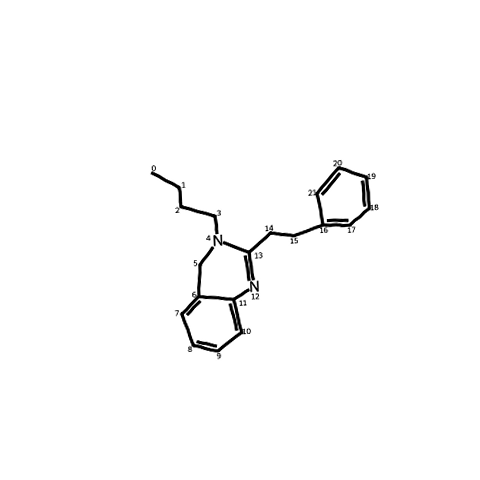 CCCCN1Cc2ccccc2N=C1CCc1ccccc1